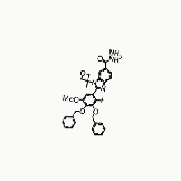 COc1cc(-c2nc3ccc(C(=O)NN)cc3n2C2(C)COC2)c(F)c(OCc2ccccc2)c1OCc1ccccc1